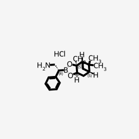 CC1(C)[C@@H]2C[C@H]3OB([C@@H](CN)c4ccccc4)O[C@@]3(C)[C@H]1C2.Cl